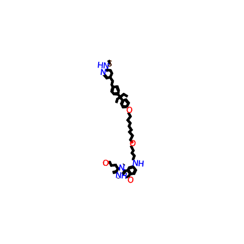 C=C(NC)C(CCC=O)N(C)C(=C)c1cc(NCCCCCOCCCCCCCCCOc2ccc(C(CC)(CC)c3ccc(CCC4C=CN=C(NSC)CC4)cc3)cc2)ccc1C=O